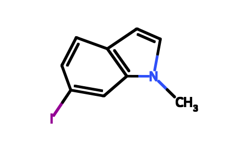 Cn1ccc2ccc(I)cc21